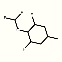 CC1CC(F)C(OC(F)F)C(F)C1